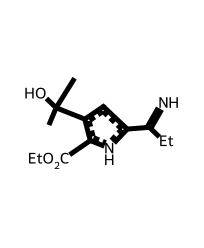 CCOC(=O)c1[nH]c(C(=N)CC)cc1C(C)(C)O